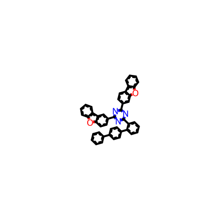 c1ccc(-c2ccc(-c3ccccc3-c3nc(-c4ccc5c(c4)oc4ccccc45)nc(-c4ccc5oc6ccccc6c5c4)n3)cc2)cc1